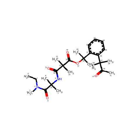 BCN(C)C(=O)C(C)(C)NC(=O)C(C)(C)C(=O)OC(C)(C)c1ccccc1C(C)(C)C(C)=O